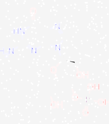 Nc1nc2c(ncn2[C@@H](CO)O[C@@H](CO)COP(=O)(O)O)c(=O)[nH]1